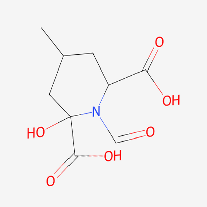 CC1CC(C(=O)O)N(C=O)C(O)(C(=O)O)C1